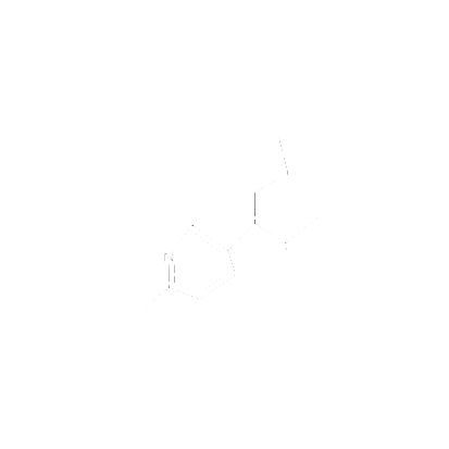 CCCC(CC)c1ccc(O)nc1